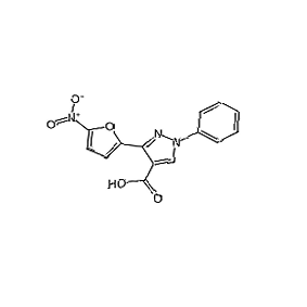 O=C(O)c1cn(-c2ccccc2)nc1-c1ccc([N+](=O)[O-])o1